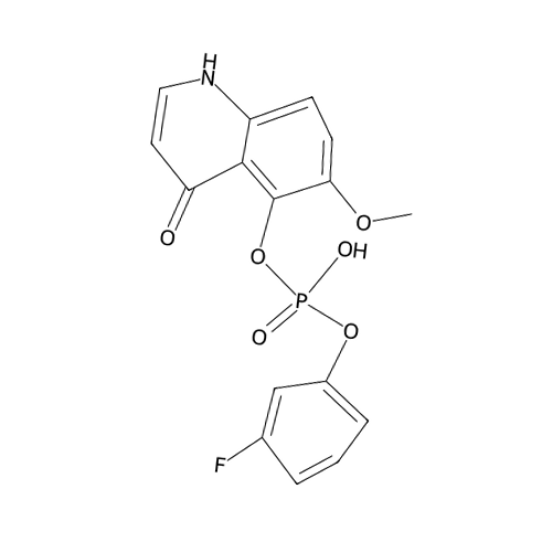 COc1ccc2[nH]ccc(=O)c2c1OP(=O)(O)Oc1cccc(F)c1